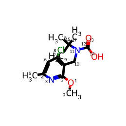 COc1nc(C)cc(Cl)c1CN(C(=O)O)C(C)(C)C